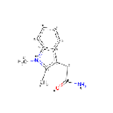 Cc1c(CC(N)=O)c2ccccc2n1C